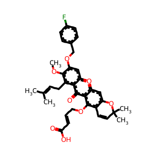 COc1c(OCc2ccc(F)cc2)cc2oc3cc4c(c(OC/C=C/C(=O)O)c3c(=O)c2c1CC=C(C)C)C=CC(C)(C)O4